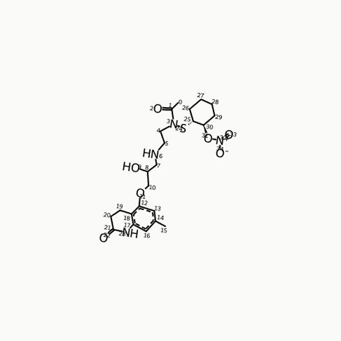 CC(=O)N(CCNCC(O)COc1cc(C)cc2c1CCC(=O)N2)S[C@@H]1CCCC[C@H]1O[N+](=O)[O-]